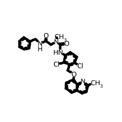 Cc1ccc2cccc(OCc3c(Cl)ccc(NC(=O)N(C)CC(=O)NCc4ccccc4)c3Cl)c2n1